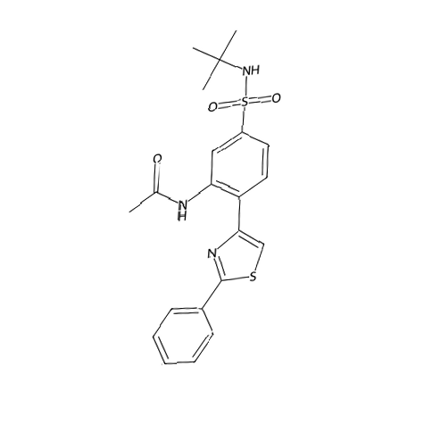 CC(=O)Nc1cc(S(=O)(=O)NC(C)(C)C)ccc1-c1csc(-c2cc[c]cc2)n1